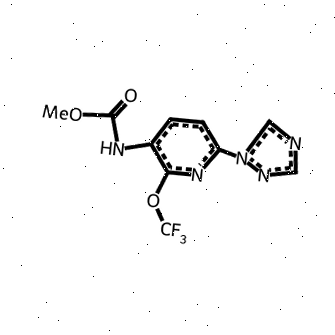 COC(=O)Nc1ccc(-n2cncn2)nc1OC(F)(F)F